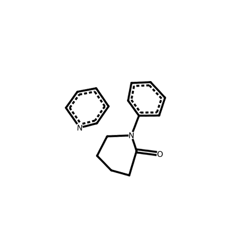 O=C1CCCCN1c1ccccc1.c1ccncc1